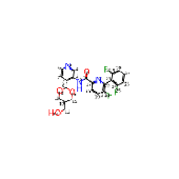 O=C(Nc1cnccc1[C@H]1OC[C@H](CO)CO1)c1ccc(F)c(-c2c(F)cccc2F)n1